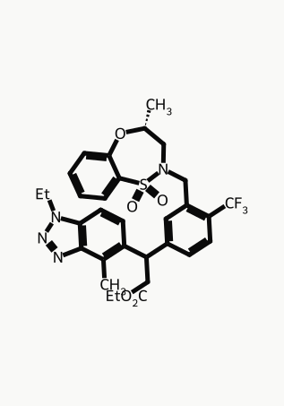 CCOC(=O)CC(c1ccc(C(F)(F)F)c(CN2C[C@@H](C)Oc3ccccc3S2(=O)=O)c1)c1ccc2c(nnn2CC)c1C